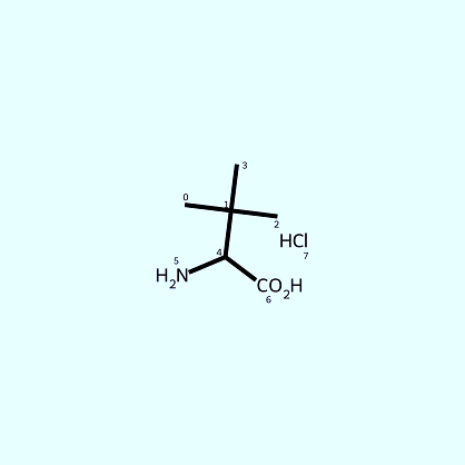 CC(C)(C)C(N)C(=O)O.Cl